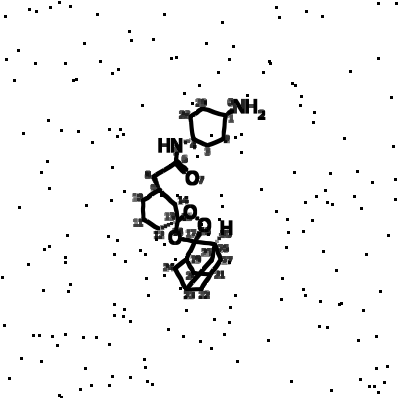 N[C@H]1CC[C@H](NC(=O)C[C@@H]2CCC[C@]3(C2)OO[C@]2(O3)C3CC4CC(C3)C[C@@H]2C4)CC1